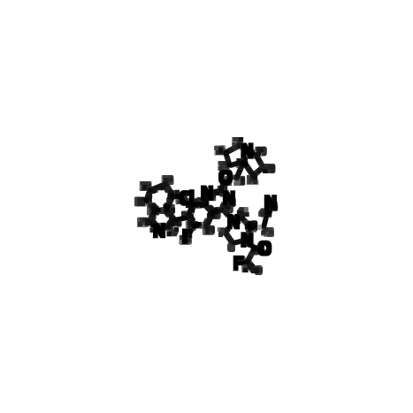 C=C(F)C(=O)N1CCN(c2nc(OCC34CCCN3CCC4)nc3cc(-c4cncc5cccc(Cl)c45)c(F)cc23)C[C@@H]1CC#N